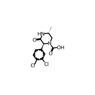 C[C@@H]1CN(C(=O)O)[C@@H](c2ccc(Cl)c(Cl)c2)C(=O)N1